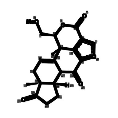 COC[C@H]1OC(=O)c2coc3c2[C@@]1(C)C1=CC[C@]2(C)C(=O)CC[C@H]2C1C3=O